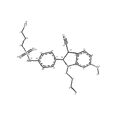 CCCCN1c2cc(OC)ccc2C(C#N)C1c1ccc(NS(=O)(=O)CCCCl)cc1